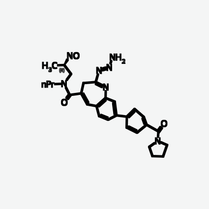 CCCN(C[C@@H](C)N=O)C(=O)C1=Cc2ccc(-c3ccc(C(=O)N4CCCC4)cc3)cc2N=C(N=NN)C1